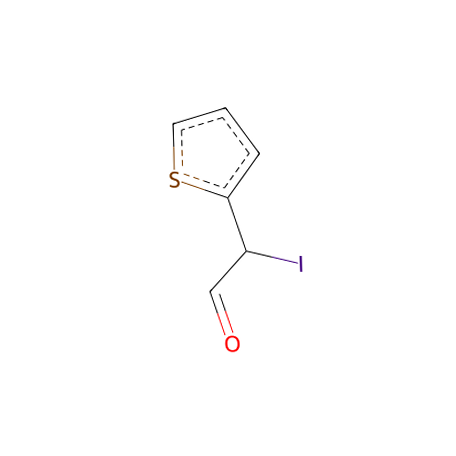 O=CC(I)c1cccs1